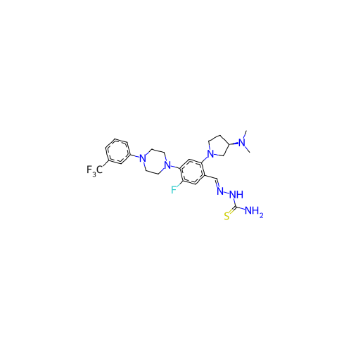 CN(C)[C@@H]1CCN(c2cc(N3CCN(c4cccc(C(F)(F)F)c4)CC3)c(F)cc2C=NNC(N)=S)C1